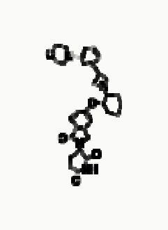 O=C1CCC(N2Cc3cc(O[C@@H]4CCCC[C@@H]4N4CC(c5cccc(N6CCOCC6)c5)C4)ccc3C2=O)C(=O)N1